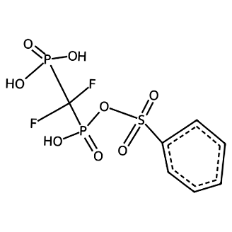 O=P(O)(O)C(F)(F)P(=O)(O)OS(=O)(=O)c1ccccc1